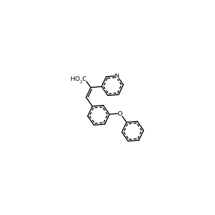 O=C(O)C(=Cc1cccc(Oc2ccccc2)c1)c1cccnc1